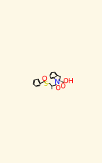 C[C@@H](CSC(=O)c1ccccc1)C(=O)N1c2ccccc2C[C@H]1C(=O)O